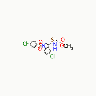 COC(=O)C1CSC(c2cn(S(=O)(=O)c3ccc(Cl)cc3)c3ccc(Cl)cc23)N1